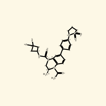 CC(=O)N1c2ccc(-c3ccc(N4CCCS4(=O)=O)cc3)cc2N(C(=O)OC2CC(F)(F)C2)C[C@@H]1C